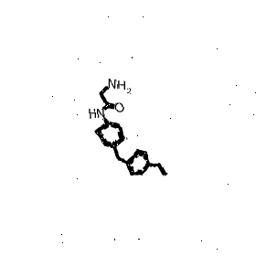 CCc1ccc(Cc2[c]cc(NC(=O)CN)cc2)cc1